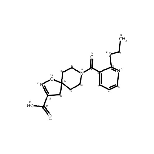 CCSc1ncccc1C(=O)N1CCC2(CC1)CC(C(=O)O)=NO2